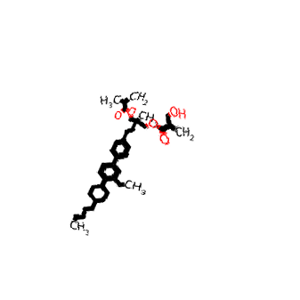 C=C(C)C(=O)OCC(C)(CCc1ccc(-c2ccc(C3CCC(CCCCC)CC3)c(CC)c2)cc1)COC(=O)C(=C)CO